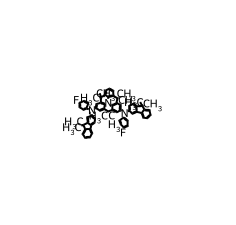 CC1(C)c2ccccc2-c2cc(N(c3ccc(F)cc3)c3cc4c5c(c3)C(C)(C)c3cc(N(c6ccc(F)cc6)c6ccc7c(c6)C(C)(C)c6ccccc6-7)cc6c3N5c3c(cccc3C6(C)C)C4(C)C)ccc21